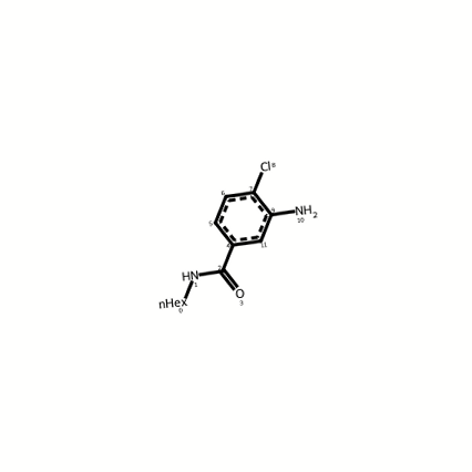 CCCCCCNC(=O)c1ccc(Cl)c(N)c1